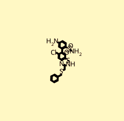 Nc1ccc(S(N)(=O)=O)c(-c2cc3c(cc2Cl)N=C(CSCc2ccccc2)NS3)c1